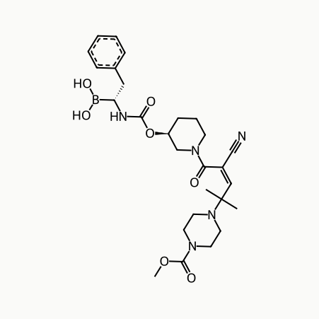 COC(=O)N1CCN(C(C)(C)C=C(C#N)C(=O)N2CCC[C@H](OC(=O)N[C@@H](Cc3ccccc3)B(O)O)C2)CC1